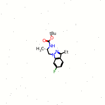 CCc1nn(C[C@H](C)NC(=O)OC(C)(C)C)c2cc(F)ccc12